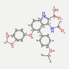 CC(=O)Nc1c(C(=O)O)[nH]c2ccc(Oc3ccc4c(c3)OCO4)c(-c3ccc(OC(C)C)cc3)c12